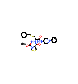 CC(C)(C)OC(=O)N1CSC[C@H]1C(=O)N[C@@H](CSCC1CCCCC1)C(=O)NC1CCN(c2ccccc2)CC1